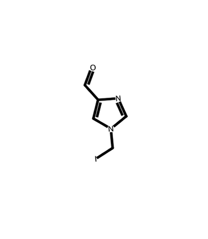 O=Cc1cn(CI)cn1